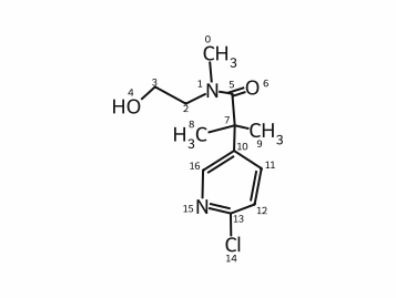 CN(CCO)C(=O)C(C)(C)c1ccc(Cl)nc1